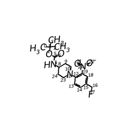 CC(C)(C)OC(=O)NC1CCN(c2ccc(CF)cc2[N+](=O)[O-])CC1